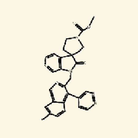 COC(=O)N1CCC2(CC1)C(=O)N(Cc1ncc3cc(F)ccc3c1-c1ccnnc1)c1cnccc12